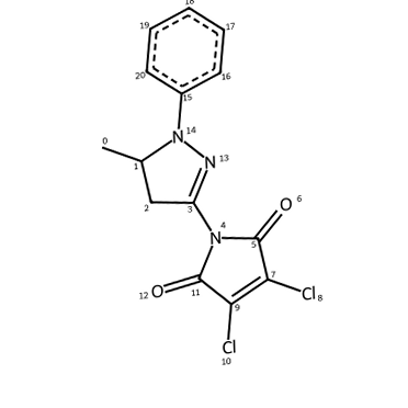 CC1CC(N2C(=O)C(Cl)=C(Cl)C2=O)=NN1c1ccccc1